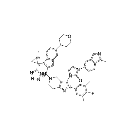 Cc1cc(-n2nc3c(c2-n2ccn(-c4ccc5c(cnn5C)c4)c2=O)CN(C(=O)c2cc4cc(C5CCOCC5)ccc4n2[C@@]2(c4nnn[nH]4)C[C@@H]2C)CC3)cc(C)c1F